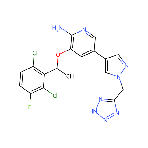 CC(Oc1cc(-c2cnn(Cc3nn[nH]n3)c2)cnc1N)c1c(Cl)ccc(F)c1Cl